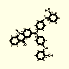 Cn1c2ccccc2c(=O)c2cc([S+](c3ccc(Sc4ccccc4O)cc3)c3ccc(Sc4ccccc4O)cc3)ccc21